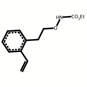 C=Cc1ccccc1CCONC(=O)OCC